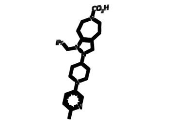 Cc1ccc(N2CCC(N3CC4=C(CCN(C(=O)O)CC4)N3CC(C)C)CC2)cn1